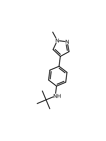 Cn1cc(-c2ccc(NC(C)(C)C)cc2)cn1